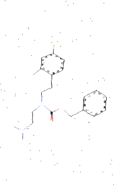 CN(CCN(CCc1ccc(F)cc1C=O)C(=O)OCc1ccccc1)C(=O)O